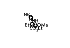 CCOC(=O)N1c2ccc(OC)nc2[C@@H](Nc2ccc(C#N)cn2)C[C@H]1CC